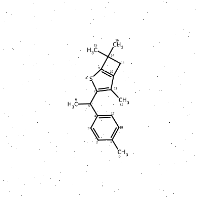 Cc1ccc(C(C)c2sc3c(c2C)CC3(C)C)cc1